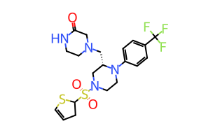 O=C1CN(C[C@H]2CN(S(=O)(=O)C3CC=CS3)CCN2c2ccc(C(F)(F)F)cc2)CCN1